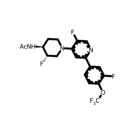 CC(=O)N[C@H]1CCN(c2cc(-c3ccc(OC(F)(F)F)c(F)c3)ncc2F)C[C@@H]1F